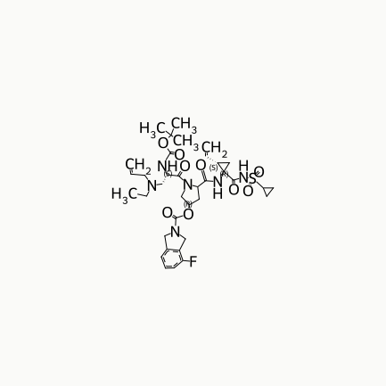 C=CCN(CC)C[C@H](NC(=O)OC(C)(C)C)C(=O)N1C[C@H](OC(=O)N2Cc3cccc(F)c3C2)CC1C(=O)N[C@]1(C(=O)NS(=O)(=O)C2CC2)C[C@H]1C=C